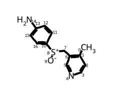 Cc1ccncc1C[S+]([O-])c1ccc(N)cc1